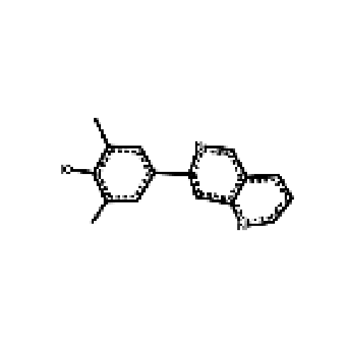 Cc1cc(-c2cc3ncccc3cn2)cc(C)c1O